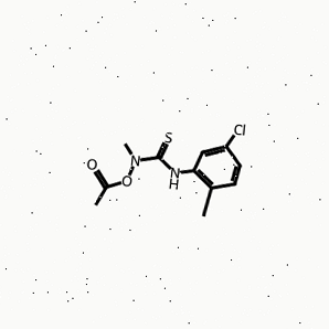 CC(=O)ON(C)C(=S)Nc1cc(Cl)ccc1C